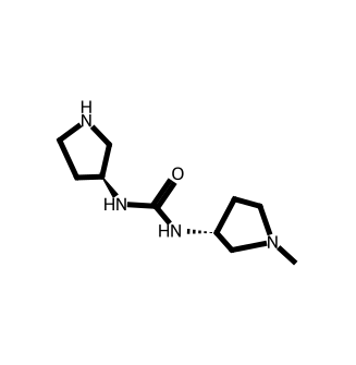 CN1CC[C@@H](NC(=O)N[C@H]2CCNC2)C1